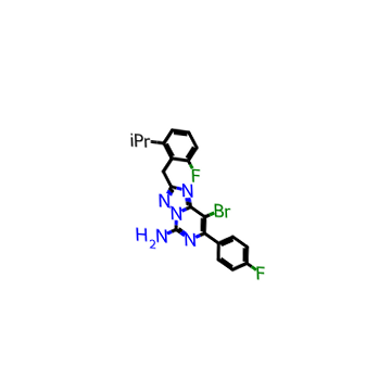 CC(C)c1cccc(F)c1Cc1nc2c(Br)c(-c3ccc(F)cc3)nc(N)n2n1